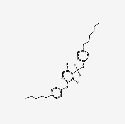 CCCCCCc1ccc(OC(F)(F)c2c(F)c[c]c(Oc3ccc(CCCCC)cc3)c2F)cc1